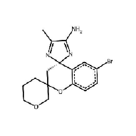 CC1=N[C@@]2(CC3(CCCOC3)Oc3ccc(Br)cc32)N=C1N